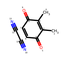 CC1=C(C)C(=O)C=CC1=O.N#CC#N